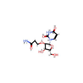 CNC(=O)CCO[C@@H]1[C@H](O)[C@@H](CO)O[C@H]1n1ccc(=O)[nH]c1=O